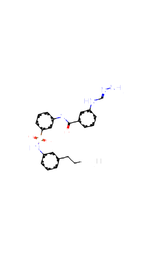 NN=CNc1cccc(C(=O)Nc2cccc(S(=O)(=O)Nc3cccc(CCC(=O)O)c3)c2)c1